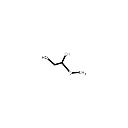 CSC(O)CO